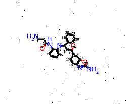 NCCC(=O)Nc1ccccc1/N=c1\cc(-c2ccc3nc(N)oc3c2)oc2ccccc12